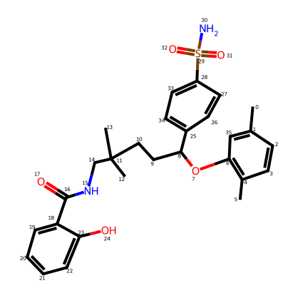 Cc1ccc(C)c(OC(CCC(C)(C)CNC(=O)c2ccccc2O)c2ccc(S(N)(=O)=O)cc2)c1